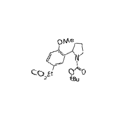 CCOC(=O)c1ccc(OC)c(C2CCCN2C(=O)OC(C)(C)C)c1